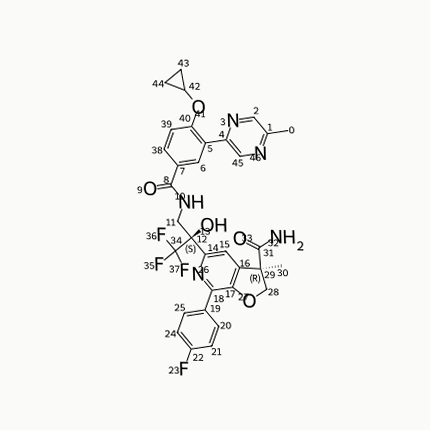 Cc1cnc(-c2cc(C(=O)NC[C@](O)(c3cc4c(c(-c5ccc(F)cc5)n3)OC[C@]4(C)C(N)=O)C(F)(F)F)ccc2OC2CC2)cn1